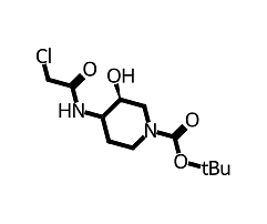 CC(C)(C)OC(=O)N1CCC(NC(=O)CCl)[C@@H](O)C1